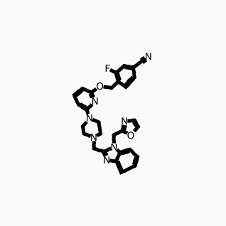 N#Cc1ccc(COc2cccc(N3CCN(Cc4nc5ccccc5n4Cc4ncco4)CC3)n2)c(F)c1